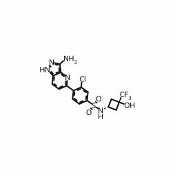 Nc1n[nH]c2ccc(-c3ccc(S(=O)(=O)N[C@H]4C[C@](O)(C(F)(F)F)C4)cc3Cl)nc12